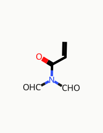 C=CC(=O)N(C=O)C=O